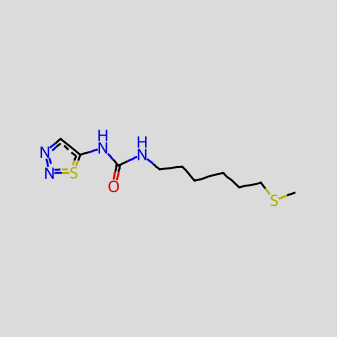 CSCCCCCCNC(=O)Nc1cnns1